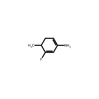 CC1CC=C(N)C=C1F